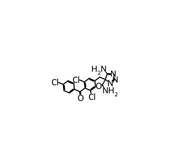 NC(=O)C1(Cc2cc(Cl)c(C(=O)c3ccc(Cl)cc3)c(Cl)c2)N=NN=C1N